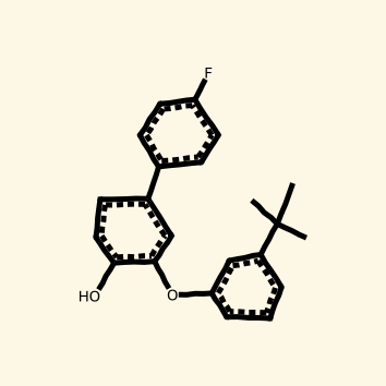 CC(C)(C)c1cccc(Oc2cc(-c3ccc(F)cc3)ccc2O)c1